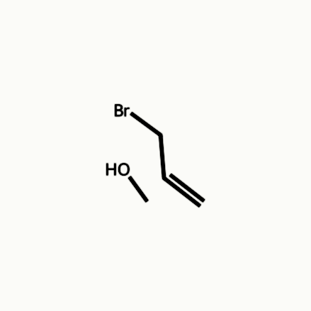 C=CCBr.CO